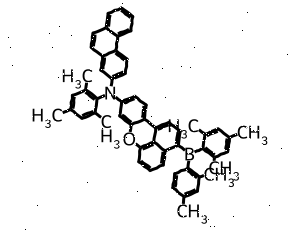 Cc1ccc(B(c2c(C)cc(C)cc2C)c2ccc3c4c(cccc24)Oc2cc(N(c4ccc5c(ccc6ccccc65)c4)c4c(C)cc(C)cc4C)ccc2-3)c(C)c1